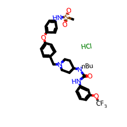 CCCCN(C(=O)Nc1cccc(OC(F)(F)F)c1)C1CCN(Cc2ccc(Oc3ccc(NS(C)(=O)=O)cc3)cc2)CC1.Cl